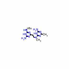 CCCCNC1=NC(CCN(C)C2=NC(C)N=C(N)N2)N=C(N)N1